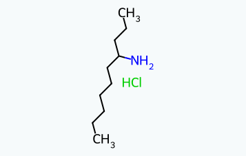 CCCCCCC(N)CCC.Cl